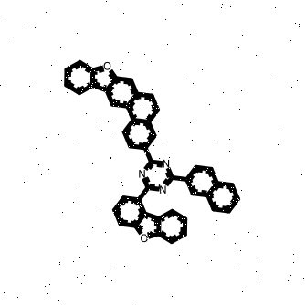 c1ccc2cc(-c3nc(-c4ccc5c(ccc6cc7oc8ccccc8c7cc65)c4)nc(-c4cccc5oc6ccccc6c45)n3)ccc2c1